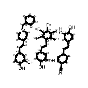 N#Cc1ccc(C=Cc2ccc(O)c(O)c2)cc1.Oc1ccc(C=Cc2c(F)c(F)c(F)c(F)c2F)cc1O.Oc1ccc(C=Cc2cc[n+](Cc3ccccc3)cc2)cc1O